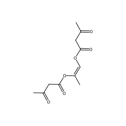 CC(=O)CC(=O)OC=C(C)OC(=O)CC(C)=O